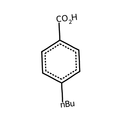 CCCCc1ccc(C(=O)O)cc1